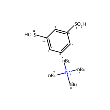 CCCC[N+](CCCC)(CCCC)CCCC.O=S(=O)(O)c1cccc(S(=O)(=O)O)c1